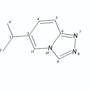 CC(C)c1ccc2nncn2c1